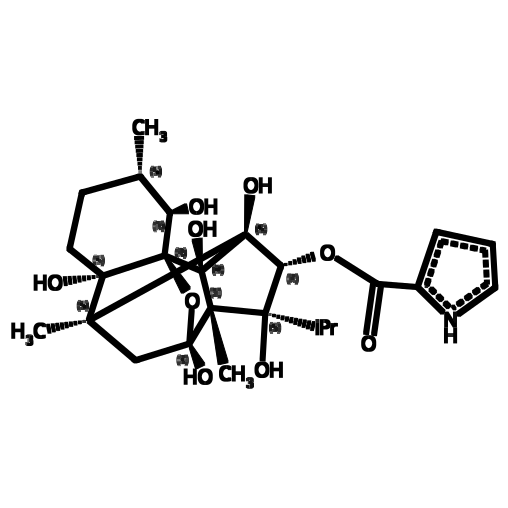 CC(C)[C@@]1(O)[C@@H](OC(=O)c2ccc[nH]2)[C@@]2(O)[C@@]3(C)C[C@]4(O)O[C@@]5([C@H](O)[C@@H](C)CC[C@]35O)[C@@]2(O)[C@]14C